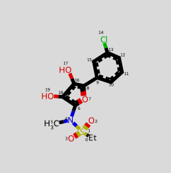 CCS(=O)(=O)N(C)c1oc(-c2cccc(Cl)c2)c(O)c1O